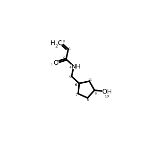 C=CC(=O)NCC1CCC(O)C1